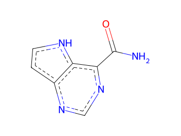 NC(=O)c1ncnc2cc[nH]c12